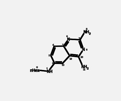 CCCCCCNc1ccc2nc(N)nc(N)c2c1